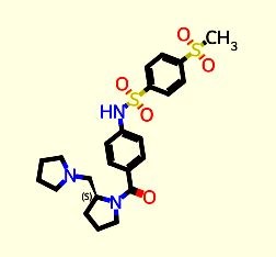 CS(=O)(=O)c1ccc(S(=O)(=O)Nc2ccc(C(=O)N3CCC[C@H]3CN3CCCC3)cc2)cc1